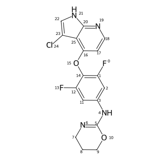 Fc1cc(NC2=NCCCO2)cc(F)c1Oc1ccnc2[nH]cc(Cl)c12